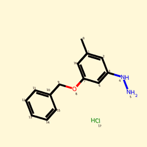 Cc1cc(NN)cc(OCc2ccccc2)c1.Cl